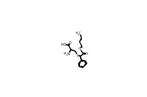 CCCCOC(=O)C(SCC(N)C(=O)O)c1ccccc1